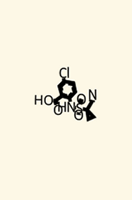 N#CC1(S(=O)(=O)Nc2ccc(Cl)cc2C(=O)O)CC1